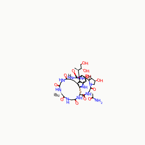 CC[C@H](C)[C@@H]1NC(=O)CNC(=O)[C@@H]2Cc3c([nH]c4cc(O)ccc34)S[C@H](NC(=O)CNC1=O)C(=O)N[C@@H](CC(N)=O)C(=O)N1C[C@H](O)C[C@H]1C(=O)N[C@@H]([C@@H](C)[C@@H](O)CO)C(=O)N2